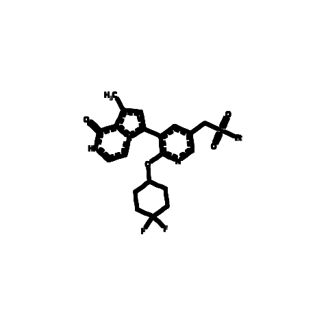 CCS(=O)(=O)Cc1cnc(OC2CCC(F)(F)CC2)c(-c2cc(C)c3c(=O)[nH]ccn23)c1